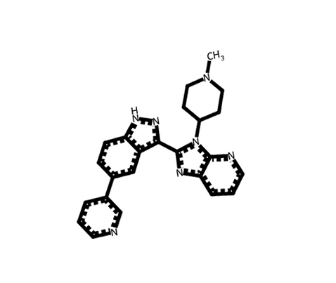 CN1CCC(n2c(-c3n[nH]c4ccc(-c5cccnc5)cc34)nc3cccnc32)CC1